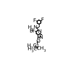 C[Si](C)(C)CCOCn1ncc2nc(C(N)Cc3cc(F)cc(F)c3)c(Br)cc21